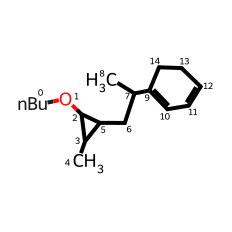 CCCCOC1C(C)C1CC(C)C1=CC=CCC1